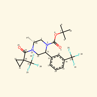 C[C@@H]1CN(C(=O)OC(C)(C)C)C(c2cccc(C(F)(F)F)c2)CN1C(=O)C1(C(F)(F)F)CC1